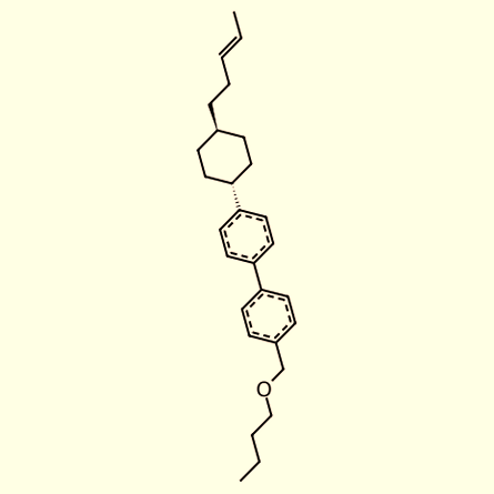 CC=CCC[C@H]1CC[C@H](c2ccc(-c3ccc(COCCCC)cc3)cc2)CC1